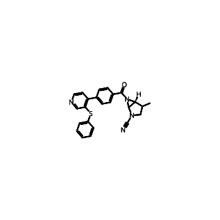 CC1CN(C#N)C2[C@@H]1N2C(=O)c1ccc(-c2ccncc2Sc2ccccc2)cc1